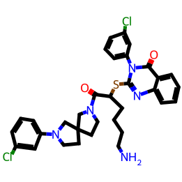 NCCCCC(Sc1nc2ccccc2c(=O)n1-c1cccc(Cl)c1)C(=O)N1CCC2(CCN(c3cccc(Cl)c3)C2)C1